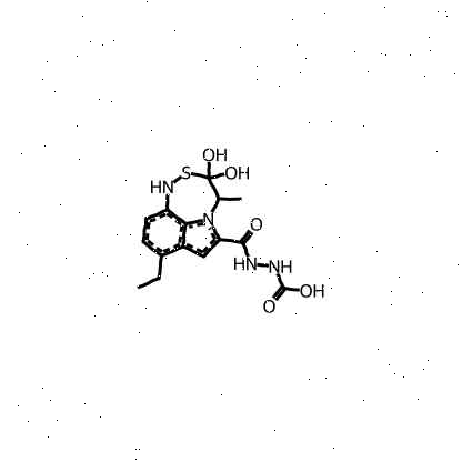 CCc1ccc2c3c1cc(C(=O)NNC(=O)O)n3C(C)C(O)(O)SN2